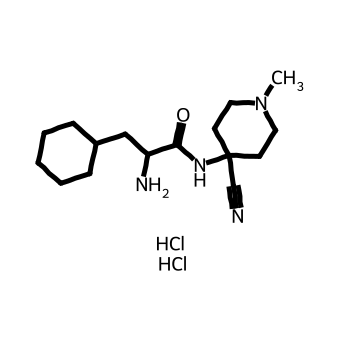 CN1CCC(C#N)(NC(=O)C(N)CC2CCCCC2)CC1.Cl.Cl